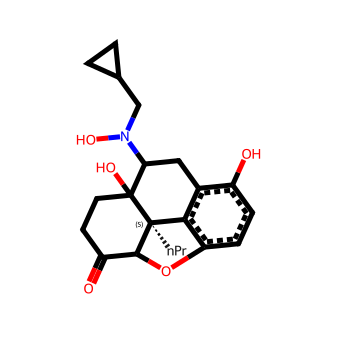 CCC[C@@]12c3c4ccc(O)c3CC(N(O)CC3CC3)C1(O)CCC(=O)C2O4